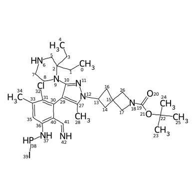 CCC1(CC)CNCCN1c1nn(C2CC3(C2)CN(C(=O)OC(C)(C)C)C3)c(C)c1-c1c(Cl)c(C)cc(NPI)c1C=N